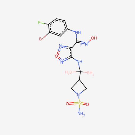 BC(B)(Nc1nonc1/C(=N/O)Nc1ccc(F)c(Br)c1)C1CN(S(N)(=O)=O)C1